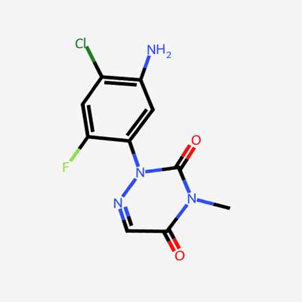 Cn1c(=O)cnn(-c2cc(N)c(Cl)cc2F)c1=O